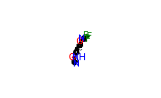 O=C(NC1CCC(=Cc2cccc(Oc3ccc(C(F)(F)F)cn3)c2)CC1)c1cccnc1